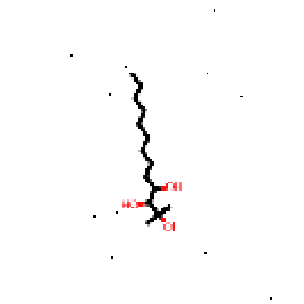 CCCCCCCCCC(O)C(O)C(C)(C)O